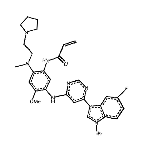 C=CC(=O)Nc1cc(Nc2cc(-c3cn(C(C)C)c4ccc(F)cc34)ncn2)c(OC)cc1N(C)CCN1CCCC1